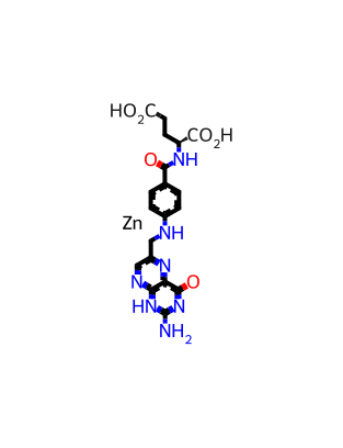 Nc1nc(=O)c2nc(CNc3ccc(C(=O)N[C@@H](CCC(=O)O)C(=O)O)cc3)cnc2[nH]1.[Zn]